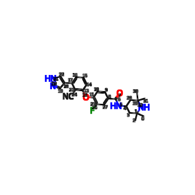 CC1(C)CC(NC(=O)c2ccc(Oc3cccc(-c4cn[nH]c4)c3C#N)c(F)c2)CC(C)(C)N1